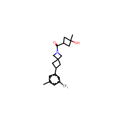 Cc1cc(C2CC3(C2)CN(C(=O)C2CC(C)(O)C2)C3)cc(C(F)(F)F)c1